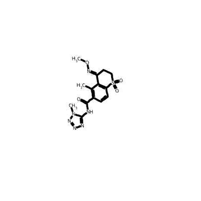 CO/N=C1\CCS(=O)(=O)c2ccc(C(=O)Nc3nnnn3C)c(C)c21